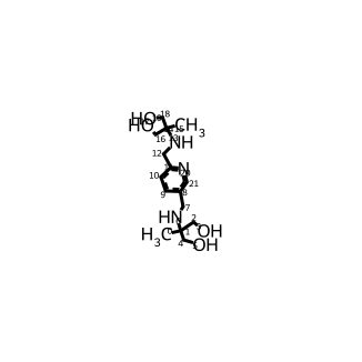 CC(CO)(CO)NCc1ccc(CNC(C)(CO)CO)nc1